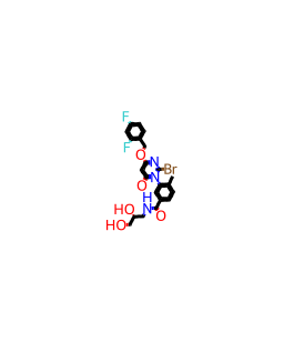 Cc1ccc(C(=O)NC[C@@H](O)CO)cc1-n1c(Br)nc(OCc2ccc(F)cc2F)cc1=O